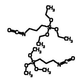 CCO[Si](CCCN=C=O)(OCC)OCC.CO[Si](CCCN=C=O)(OC)OC